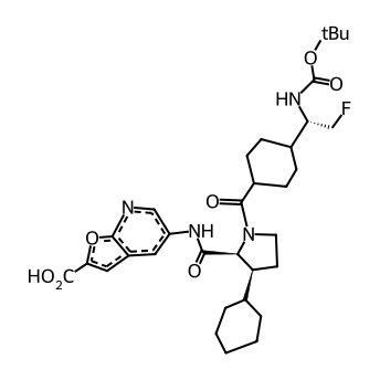 CC(C)(C)OC(=O)N[C@H](CF)C1CCC(C(=O)N2CC[C@@H](C3CCCCC3)[C@H]2C(=O)Nc2cnc3oc(C(=O)O)cc3c2)CC1